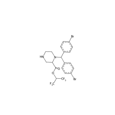 O=C(OC(C(F)(F)F)C(F)(F)F)C1CNCCN1C(c1ccc(Br)cc1)c1ccc(Br)cc1